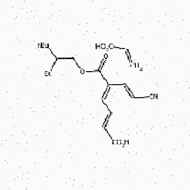 C=CC(=O)O.CCCCC(CC)COC(=O)C(C=CC#N)=CC=CC(=O)O